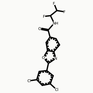 O=C(NC(F)C(F)F)c1ccc2nc(-c3cc(Cl)cc(Cl)c3)oc2c1